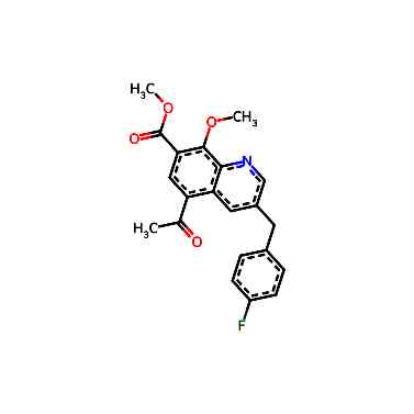 COC(=O)c1cc(C(C)=O)c2cc(Cc3ccc(F)cc3)cnc2c1OC